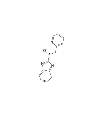 [O-][S+](Cc1ccccn1)C1=NC2=CC=CCC2=N1